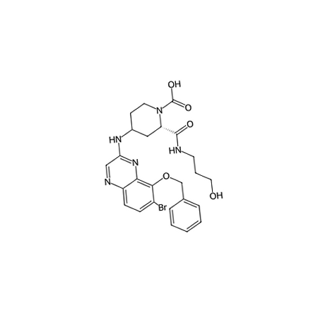 O=C(NCCCO)[C@@H]1CC(Nc2cnc3ccc(Br)c(OCc4ccccc4)c3n2)CCN1C(=O)O